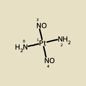 [NH2][Pt]([NH2])([N]=O)[N]=O